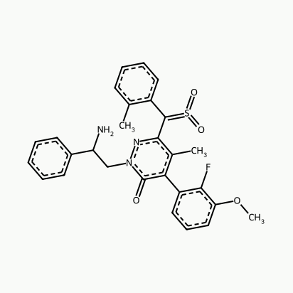 COc1cccc(-c2c(C)c(C(c3ccccc3C)=S(=O)=O)nn(CC(N)c3ccccc3)c2=O)c1F